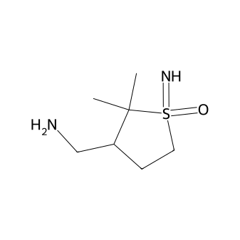 CC1(C)C(CN)CCS1(=N)=O